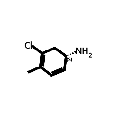 CC1=C(Cl)C[C@H](N)C=C1